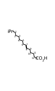 CC(C)CCCCCCC=CCCCCC(=O)O